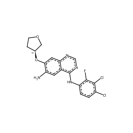 Nc1cc2c(Nc3ccc(Cl)c(Cl)c3F)ncnc2cc1O[C@H]1CCOC1